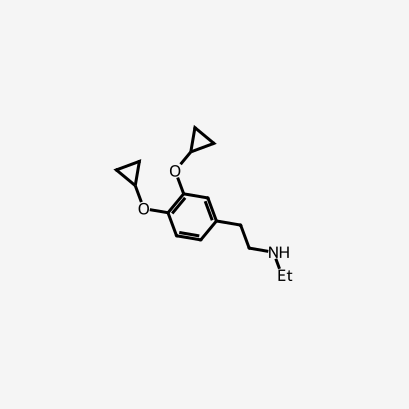 CCNCCc1ccc(OC2CC2)c(OC2CC2)c1